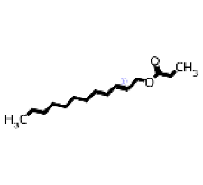 CCCCCCCCC/C=C/COC(=O)CC